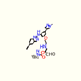 C#Cc1ccc2nc(Nc3cc(OCCNCC(C=O)OC(=O)NC(C)(C)C)cc(-c4cnn(C)c4)c3)ncc2c1